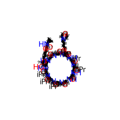 CC[C@@H]1NC(=O)[C@H]([C@H](O)[C@H](C)CCCCCOC(=O)NC2CC2)NC(=O)[C@H](C(C)C)N(C)C(=O)[C@H](CC(C)C)N(C)C(=O)[C@H](CC(C)C)N(C)C(=O)[C@@H](C)NC(=O)[C@H](C)NC(=O)[C@H](CC(C)C)N(C)C(=O)[C@H](C(C)C)NC(=O)[C@H]([C@@H](C)OCCCCN2CCOCC2)N(C)C(=O)[C@@H](C)N(C)C1=O